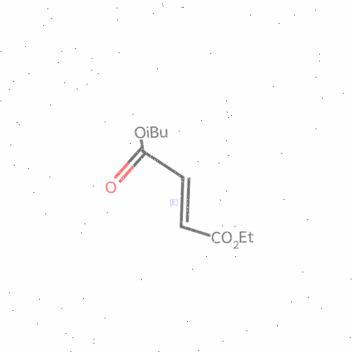 CCOC(=O)/C=C/C(=O)OCC(C)C